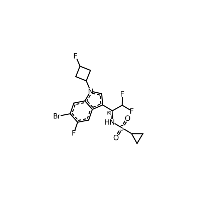 O=S(=O)(N[C@@H](c1cn(C2CC(F)C2)c2cc(Br)c(F)cc12)C(F)F)C1CC1